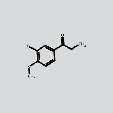 CCC(=O)c1ccc(SC)c(F)c1